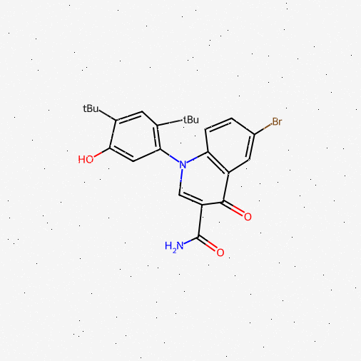 CC(C)(C)c1cc(C(C)(C)C)c(-n2cc(C(N)=O)c(=O)c3cc(Br)ccc32)cc1O